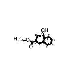 CCOC(=O)c1cc2ccccc2[n+](O)c1